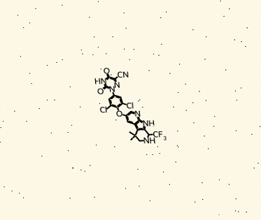 CC1(C)CNC(C(F)(F)F)c2[nH]c3ncc(Oc4c(Cl)cc(-n5nc(C#N)c(=O)[nH]c5=O)cc4Cl)cc3c21